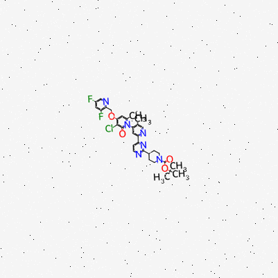 Cc1cnc(-c2ccnc(C3CCN(C(=O)OC(C)(C)C)CC3)n2)cc1-n1c(C)cc(OCc2ncc(F)cc2F)c(Cl)c1=O